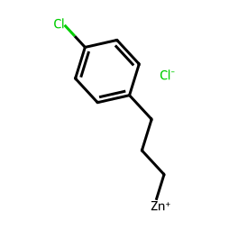 Clc1ccc(CC[CH2][Zn+])cc1.[Cl-]